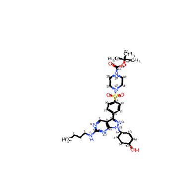 CCCCNc1ncc2c(-c3ccc(S(=O)(=O)N4CCN(C(=O)OC(C)(C)C)CC4)cc3)nn(C3CCC(O)CC3)c2n1